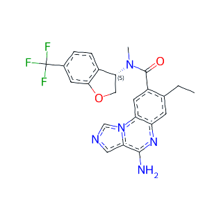 CCc1cc2nc(N)c3cncn3c2cc1C(=O)N(C)[C@@H]1COc2cc(C(F)(F)F)ccc21